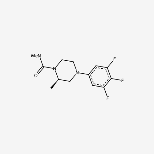 CNC(=O)N1CCN(c2cc(F)c(F)c(F)c2)C[C@H]1C